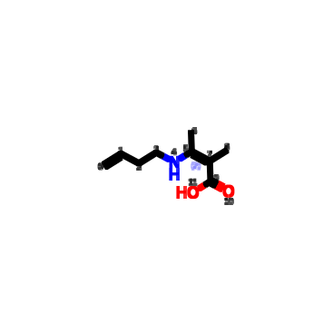 C=CCCN/C(C)=C(/C)C(=O)O